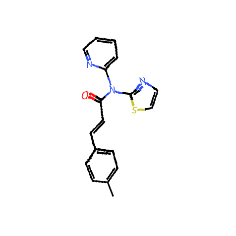 Cc1ccc(/C=C/C(=O)N(c2ccccn2)c2nccs2)cc1